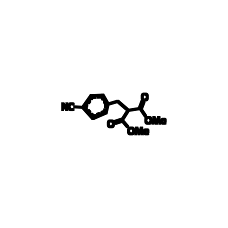 COC(=O)C(Cc1ccc(C#N)cc1)C(=O)OC